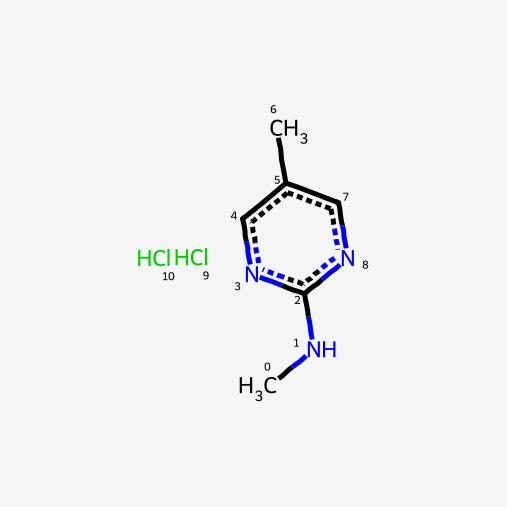 CNc1ncc(C)cn1.Cl.Cl